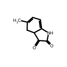 CC1=CC=C2NC(=O)C(=O)C2C1